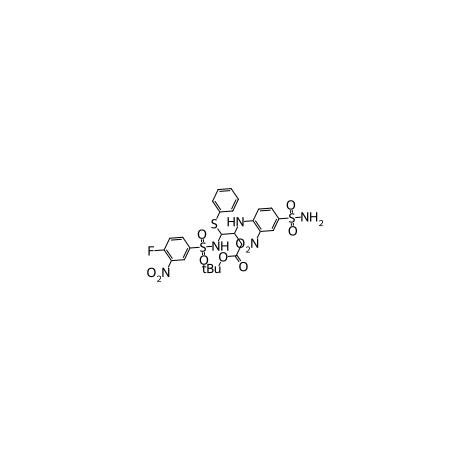 CC(C)(C)OC(=O)CC(Nc1ccc(S(N)(=O)=O)cc1[N+](=O)[O-])C(NS(=O)(=O)c1ccc(F)c([N+](=O)[O-])c1)Sc1ccccc1